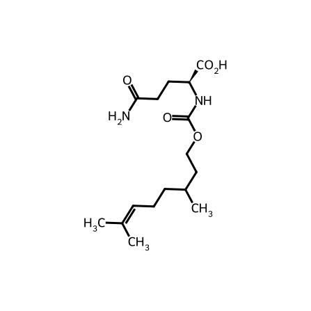 CC(C)=CCCC(C)CCOC(=O)N[C@@H](CCC(N)=O)C(=O)O